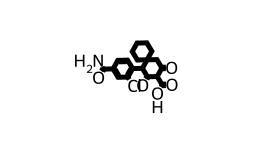 NC(=O)c1ccc(C2C(=O)C(C(=O)O)C(=O)CC23CCCCC3)c(Cl)c1